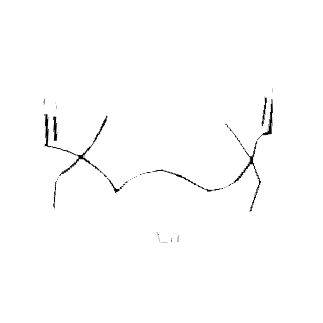 CC(C)(C=O)CCCC(C)(C)C=O.[La]